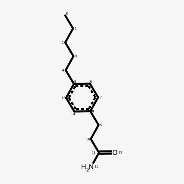 CCCCCc1ccc(CCC(N)=O)cc1